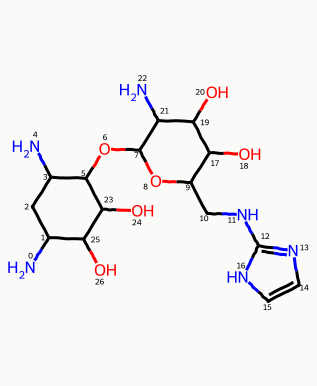 NC1CC(N)C(OC2OC(CNc3ncc[nH]3)C(O)C(O)C2N)C(O)C1O